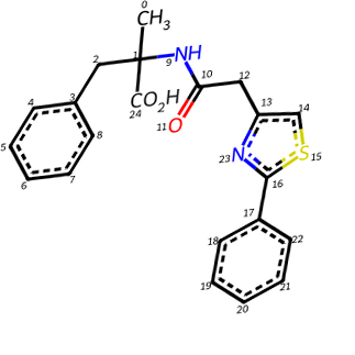 CC(Cc1ccccc1)(NC(=O)Cc1csc(-c2ccccc2)n1)C(=O)O